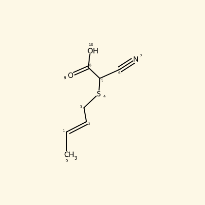 CC=CCSC(C#N)C(=O)O